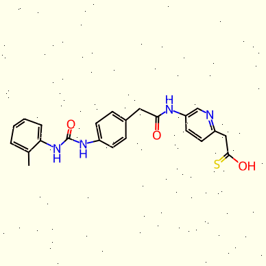 Cc1ccccc1NC(=O)Nc1ccc(CC(=O)Nc2ccc(CC(O)=S)nc2)cc1